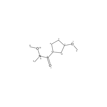 COC1CCC(C(=O)N(C)OC)C1